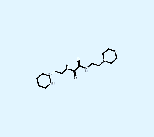 O=C(NCC[C@H]1CCCCN1)C(=O)NCCN1CCOCC1